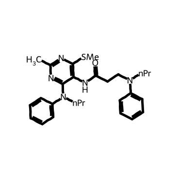 CCCN(CCC(=O)Nc1c(SC)nc(C)nc1N(CCC)c1ccccc1)c1ccccc1